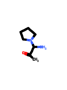 CC(=O)C(N)N1CCCC1